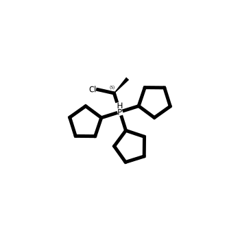 C[C@H](Cl)[PH](C1CCCC1)(C1CCCC1)C1CCCC1